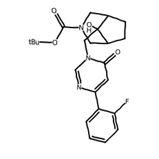 CC(C)(C)OC(=O)N1CC2CCC(C1)C2(O)Cn1cnc(-c2ccccc2F)cc1=O